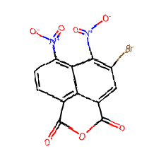 O=C1OC(=O)c2cc(Br)c([N+](=O)[O-])c3c([N+](=O)[O-])ccc1c23